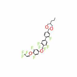 CCCC1COC(c2ccc(-c3cc(F)c(C(F)(F)Oc4cc(F)c(O/C=C\C(F)(F)F)c(F)c4)c(F)c3)c(F)c2)OC1